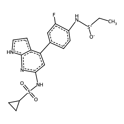 CC[S+]([O-])Nc1ccc(-c2cc(NS(=O)(=O)C3CC3)nc3[nH]ccc23)cc1F